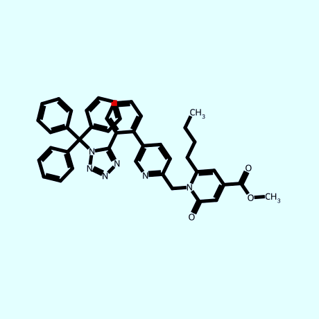 CCCCc1cc(C(=O)OC)cc(=O)n1Cc1ccc(-c2ccccc2-c2nnnn2C(c2ccccc2)(c2ccccc2)c2ccccc2)cn1